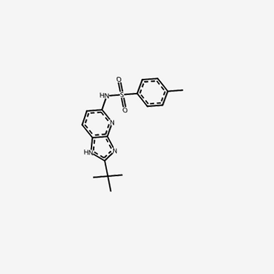 Cc1ccc(S(=O)(=O)Nc2ccc3[nH]c(C(C)(C)C)nc3n2)cc1